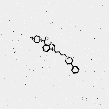 CN1CCN(C(=O)c2cccc3c2ncn3CCCCN2CC=C(c3ccccc3)CC2)CC1